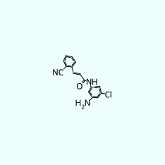 N#Cc1ccccc1C=CC(=O)Nc1cc(N)cc(Cl)c1